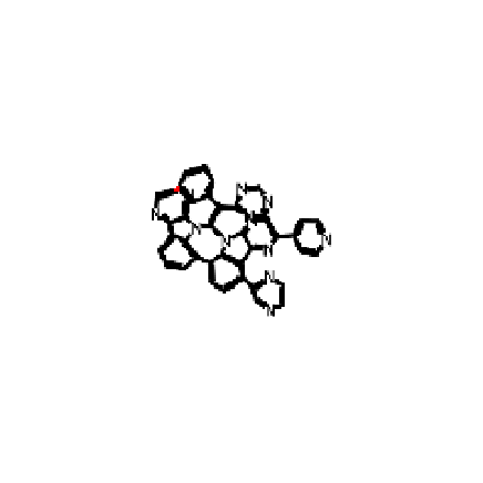 c1ccc(/C(c2ncncn2)=c2\n3c4nccnc4c4cccc(c5ccc(-c6cnccn6)c6c7nc(-c8ccncc8)cnc7n2c56)c43)cc1